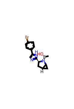 CB(O)N1C2C[C@@H]2C[C@H]1c1ncc(-c2ccc(Br)cc2)[nH]1